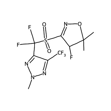 Cn1nc(C(F)(F)F)c(C(F)(F)S(=O)(=O)C2=NOC(C)(C)C2F)n1